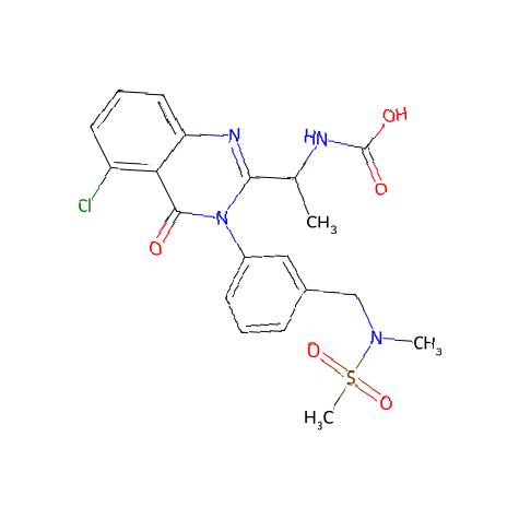 CC(NC(=O)O)c1nc2cccc(Cl)c2c(=O)n1-c1cccc(CN(C)S(C)(=O)=O)c1